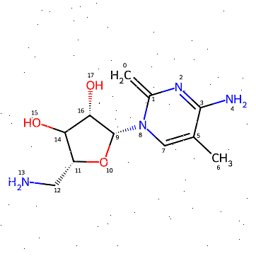 C=C1N=C(N)C(C)=CN1[C@@H]1O[C@H](CN)C(O)[C@@H]1O